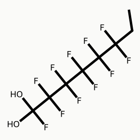 CCC(F)(F)C(F)(F)C(F)(F)C(F)(F)C(F)(F)C(O)(O)F